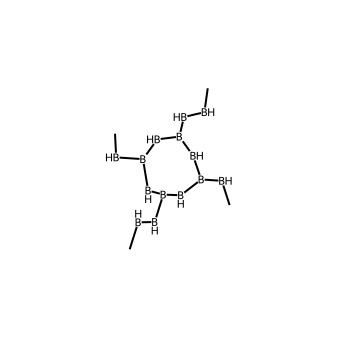 CBBB1BB(BC)BB(BBC)BB(BC)B1